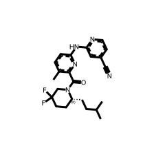 C[C](C)CC[C@@H]1CCC(F)(F)CN1C(=O)c1nc(Nc2cc(C#N)ccn2)ccc1C